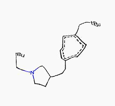 CC(C)(C)Cc1ccc(CC2CCN(CC(C)(C)C)C2)cc1